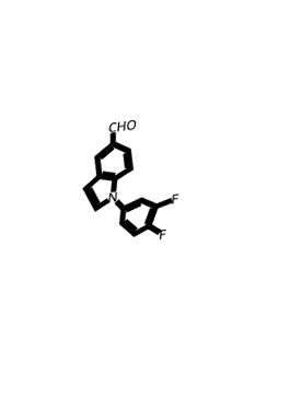 O=Cc1ccc2c(ccn2-c2ccc(F)c(F)c2)c1